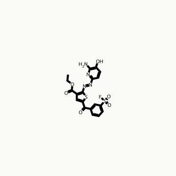 CCOC(=O)c1cc(C(=O)c2cccc(S(=O)(=O)F)c2)sc1N=Nc1ccc(O)c(N)n1